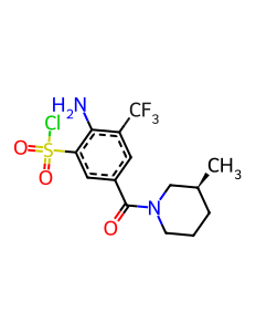 C[C@H]1CCCN(C(=O)c2cc(C(F)(F)F)c(N)c(S(=O)(=O)Cl)c2)C1